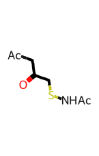 CC(=O)CC(=O)CSNC(C)=O